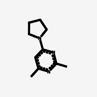 Cc1cc(N2CCCC2)nc(C)n1